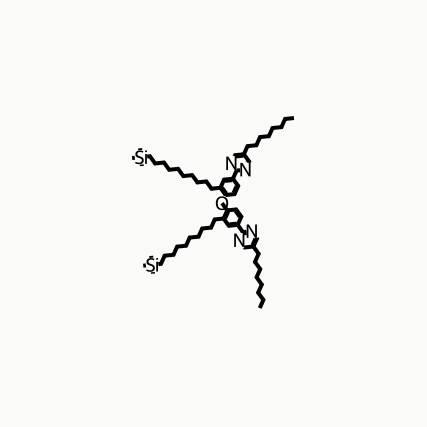 CCCCCCCCc1cnc(-c2ccc(Oc3ccc(-c4ncc(CCCCCCCC)cn4)cc3CCCCCCCCCC[Si](C)(C)C)c(CCCCCCCCCC[Si](C)(C)C)c2)nc1